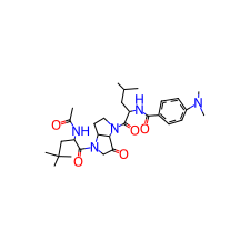 CC(=O)NC(CC(C)(C)C)C(=O)N1CC(=O)C2C1CCN2C(=O)C(CC(C)C)NC(=O)c1ccc(N(C)C)cc1